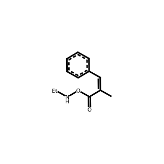 CCNOC(=O)C(C)=Cc1ccccc1